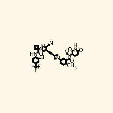 Cc1ccc(N2CC(C#Cc3cn(C4(C(=O)Nc5ccc(C(F)(F)F)cc5Cl)CCC4)nc3C#N)C2)cc1C(=O)N(C=O)C1CCC(=O)NC1=O